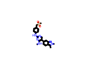 CNc1nc(Nc2ccc(CS(C)(=O)=O)cc2)ncc1-c1ccc2c(C)n(C)nc2c1